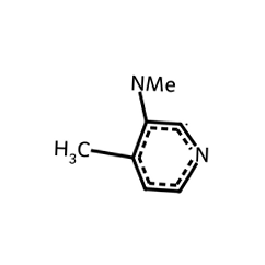 CNc1[c]nccc1C